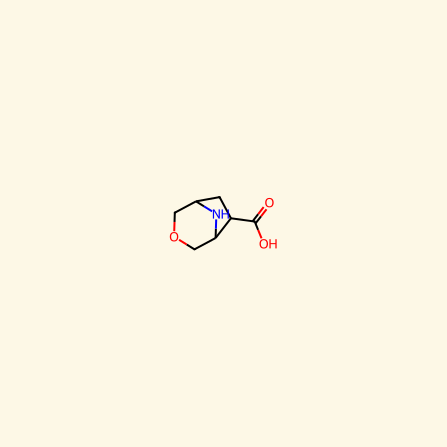 O=C(O)C1CC2COCC1N2